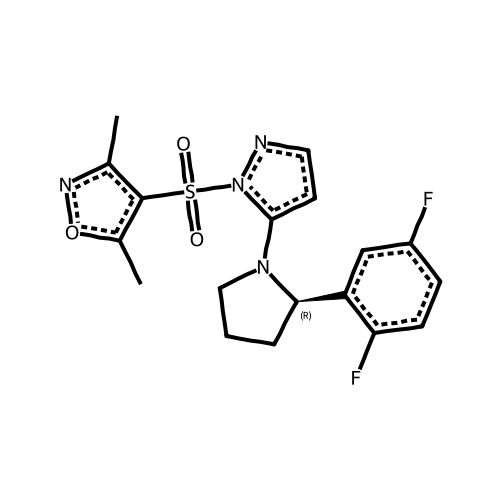 Cc1noc(C)c1S(=O)(=O)n1nccc1N1CCC[C@@H]1c1cc(F)ccc1F